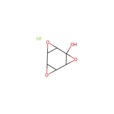 F.OC12OC1C1OC1C1OC12